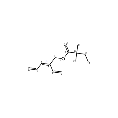 C=C/C=C(\C=C)COC(=O)C(C)(C)CC